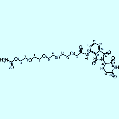 NC(=O)OCCOCCOCCOCCOCC(=O)Nc1cccc2c1C(=O)N(C1CCC(=O)NC1=O)C2=O